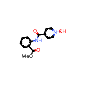 COC(=O)c1ccccc1NC(=O)c1cc[n+](O)cc1